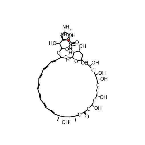 C[C@@H]1[C@H](O)[C@@H](C)/C=C/C=C/C=C/C=C/C=C/C=C/C=C/C(OC2O[C@H](C)[C@@H](O)[C@H](N)[C@@H]2O)C[C@@H]2O[C@](O)(C[C@@H](O)C[C@@H](O)[C@H](O)CC[C@@H](O)C[C@@H](O)CC(=O)O[C@H]1C)C[C@H](O)[C@H]2NC(=O)N1CC[C@H](N)C1